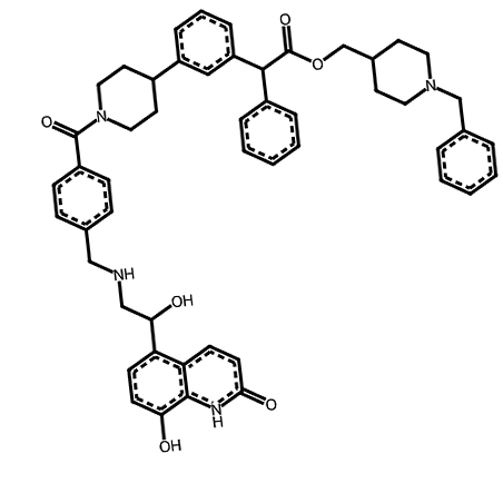 O=C(OCC1CCN(Cc2ccccc2)CC1)C(c1ccccc1)c1cccc(C2CCN(C(=O)c3ccc(CNCC(O)c4ccc(O)c5[nH]c(=O)ccc45)cc3)CC2)c1